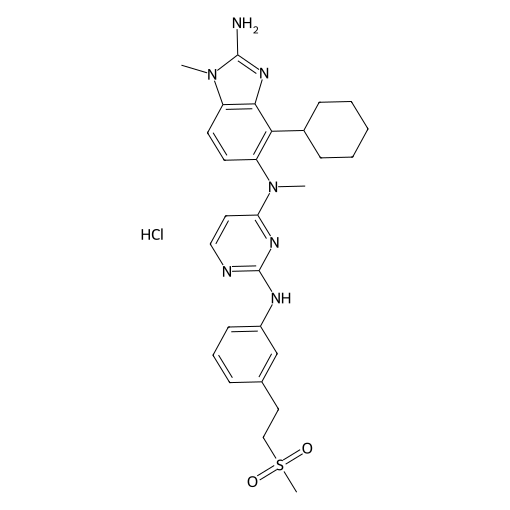 CN(c1ccnc(Nc2cccc(CCS(C)(=O)=O)c2)n1)c1ccc2c(nc(N)n2C)c1C1CCCCC1.Cl